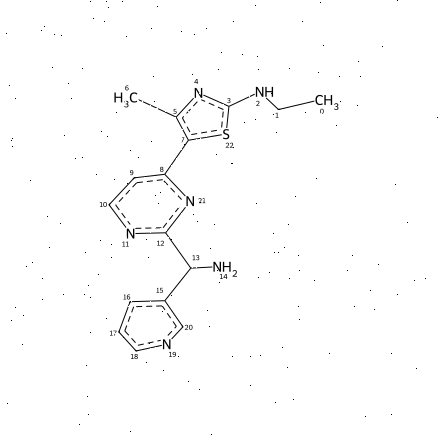 CCNc1nc(C)c(-c2ccnc(C(N)c3cccnc3)n2)s1